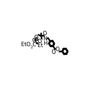 CCOC(=O)C(CC)P1(=O)OCC(C)(C(=O)NCc2ccc(C(=O)OCc3ccccc3)cc2)CO1